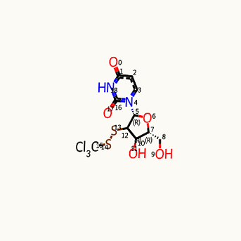 O=c1ccn([C@@H]2O[C@H](CO)[C@@H](O)C2SSC(Cl)(Cl)Cl)c(=O)[nH]1